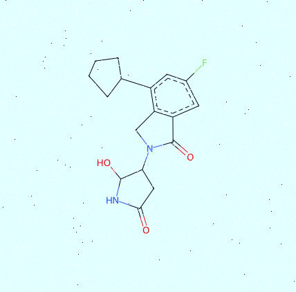 O=C1CC(N2Cc3c(cc(F)cc3C3CCCC3)C2=O)C(O)N1